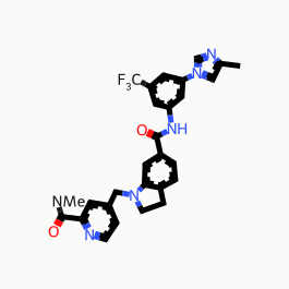 CNC(=O)c1cc(CN2CCc3ccc(C(=O)Nc4cc(-n5cnc(C)c5)cc(C(F)(F)F)c4)cc32)ccn1